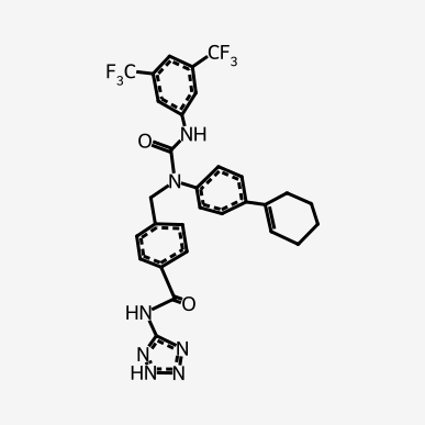 O=C(Nc1nn[nH]n1)c1ccc(CN(C(=O)Nc2cc(C(F)(F)F)cc(C(F)(F)F)c2)c2ccc(C3=CCCCC3)cc2)cc1